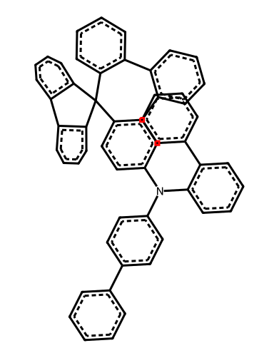 c1ccc(-c2ccc(N(c3ccc4c(c3)-c3ccccc3-c3ccccc3C43c4ccccc4-c4ccccc43)c3ccccc3-c3ccccc3)cc2)cc1